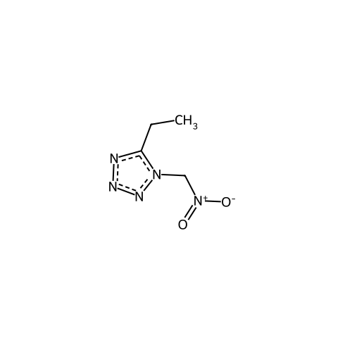 CCc1nnnn1C[N+](=O)[O-]